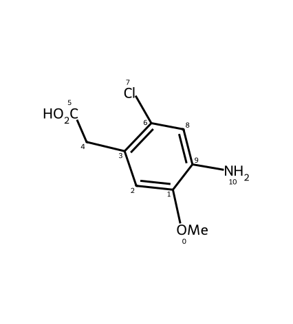 COc1cc(CC(=O)O)c(Cl)cc1N